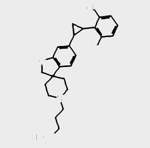 O=C(O)CCCN1CCC2(CC1)COc1cc(C3CC3c3c(Cl)cccc3Cl)ccc12